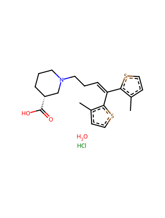 Cc1ccsc1C(=CCCN1CCC[C@@H](C(=O)O)C1)c1sccc1C.Cl.O